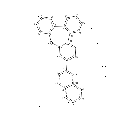 c1ccc2c(c1)Oc1cc(-c3ccc4ccccc4c3)ccc1-c1ccccc1-2